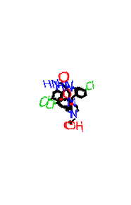 O=C(c1ccc(Cl)cc1NC1(Cc2cccc(Cl)c2)C(=O)Nc2cc(Cl)ccc21)N1CCN(CCO)CC1